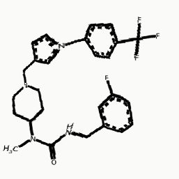 CN(C(=O)NCc1cccc(F)c1)C1CCN(Cc2ccn(-c3ccc(C(F)(F)F)cc3)c2)CC1